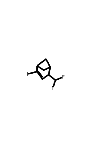 FC(F)C1C=C(I)C2CC1C2